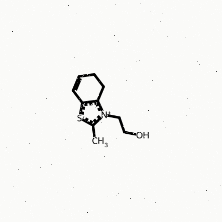 Cc1sc2c([n+]1CCO)CCC=C2